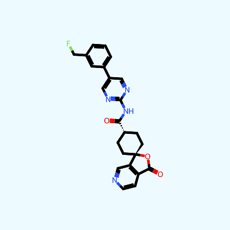 O=C1O[C@]2(CC[C@@H](C(=O)Nc3ncc(-c4cccc(CF)c4)cn3)CC2)c2cnccc21